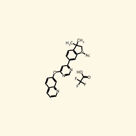 CC(=O)N1CC(C)(C)c2ccc(-c3cc(Oc4ccc5cccnc5c4)ncn3)cc21.O=C(O)C(F)(F)F